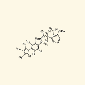 [2H]c1c(-n2c([2H])c([2H])c([2H])c2[2H])c([2H])c2nc([S+]([O-])C([2H])([2H])c3nccc(OC)c3C([2H])([2H])[2H])n([2H])c2c1[2H]